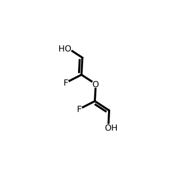 OC=C(F)OC(F)=CO